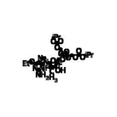 CCOc1nc(N)nc2c1ncn2C1O[C@](F)(COP(=O)(OCOC(=O)OC(C)C)OCOC(=O)OC(C)C)[C@@H](O)[C@@]1(C)F